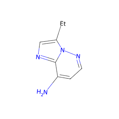 CCc1cnc2c(N)ccnn12